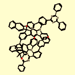 CC1(C)c2ccc(-c3cccc(-c4nc(-c5ccccc5)nc(-c5cccc(-c6ccc7ccccc7c6)c5-n5c6ccccc6c6cc7c(cc65)C(C)(C)c5ccccc5-7)n4)c3)cc2-c2cc3c4ccccc4n(-c4cc(-c5nc(-c6ccccc6)nc(-c6ccccc6)n5)ccc4-c4ccc(-c5ccc6ccccc6c5)cc4)c3cc21